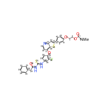 CNC(=O)OCCOc1ccc(-c2cc3nccc(Oc4ccc(NC(=S)NC(=O)Cc5ccccc5)cc4F)c3s2)cc1